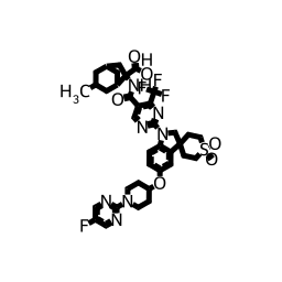 CC1CC2CC(C1)C(NC(=O)c1cnc(N3CC4(CCS(=O)(=O)CC4)c4cc(OC5CCN(c6ncc(F)cn6)CC5)ccc43)nc1C(F)(F)F)(C(=O)O)C2